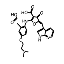 Cc1cc(OCCN(C)C)ccc1NC1=C(C(=O)O)C(=O)C(=Cc2c[nH]c3ncccc23)O1.O=CO